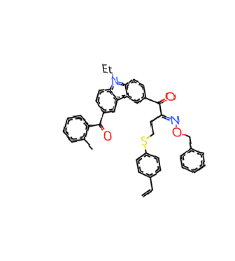 C=Cc1ccc(SCC/C(=N\OCc2ccccc2)C(=O)c2ccc3c(c2)c2cc(C(=O)c4ccccc4C)ccc2n3CC)cc1